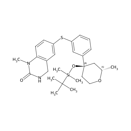 C[C@H]1C[C@@](O[Si](C)(C)C(C)(C)C)(c2cccc(Sc3ccc4c(c3)CNC(=O)N4C)c2)CCO1